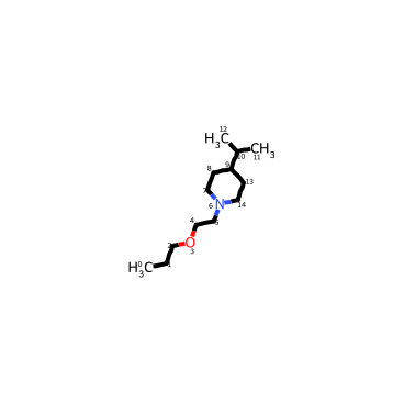 CCCOCCN1CCC(C(C)C)CC1